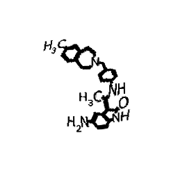 CC(Nc1ccc(CN2CCc3ccc(C)cc3CC2)cc1)=C1C(=O)Nc2ccc(N)cc21